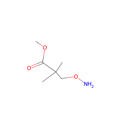 COC(=O)C(C)(C)CON